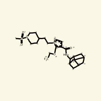 CS(=O)(=O)N1CCC(CCn2ncc(C(=O)NC3C4CC5CC(C4)CC3C5)c2OCC(F)(F)F)CC1